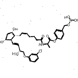 CC(NC(=O)CCC/C=C\C[C@@H]1[C@@H](/C=C/[C@@H](O)COc2cccc(Cl)c2)[C@H](O)C[C@@H]1O)C(=O)Oc1ccc(CON(O)O)cc1